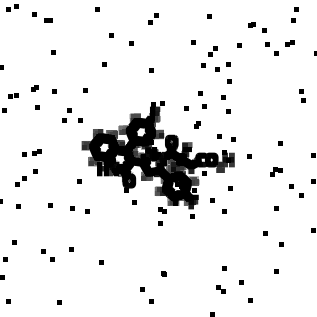 O=C(O)CC(F)(F)C(=O)N1N=C(c2c(-c3ccc(F)cc3)c3ccccc3[nH]c2=O)CC1c1ccc(F)cc1